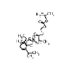 COCP(=O)(NC(C)C(=O)OCOC(=O)OC(C)C)Oc1c(C(C)C)cccc1C(C)C